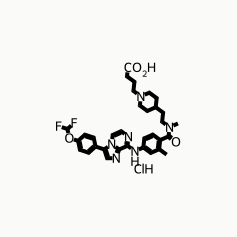 Cc1cc(Nc2nccn3c(-c4ccc(OC(F)F)cc4)cnc23)ccc1C(=O)N(C)CCC1CCN(CCCC(=O)O)CC1.Cl